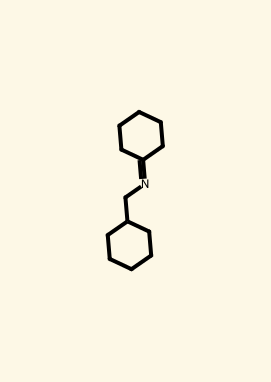 C1CCC(=NCC2CCCCC2)CC1